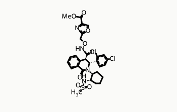 COC(=O)c1coc(CONC(=O)[C@@H]2c3ccccc3C(=O)N([C@H]3CCCC[C@@H]3NS(C)(=O)=O)[C@H]2c2ccc(Cl)cc2Cl)n1